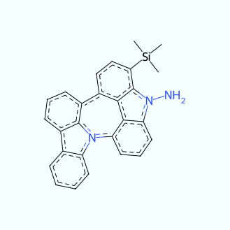 C[Si](C)(C)c1ccc2c3cccc4c5ccccc5n(c5cccc6c5c2c1n6N)c34